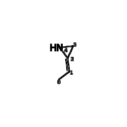 C/C=C1/CN1